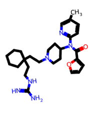 Cc1ccc(N(C(=O)c2ccco2)C2CCN(CCC3(CCNC(=N)N)CCCCC3)CC2)nc1